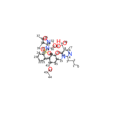 CCCCc1nc(C)c(C(=O)O)c(=O)n1Cc1ccc(-c2ccccc2S(=O)(=O)N(COC)c2noc(C)c2C)c(COCC)c1